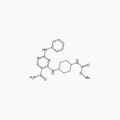 CC(C)(C)OC(=O)NC1CCC(Nc2nc(Nc3ccccc3)ncc2C(N)=O)CC1